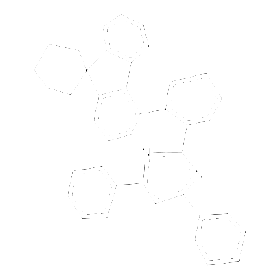 c1ccc(-c2cc(-c3ccccc3)nc(-c3ccccc3-c3cccc4c3-c3ccccc3C43CCCCC3)n2)cc1